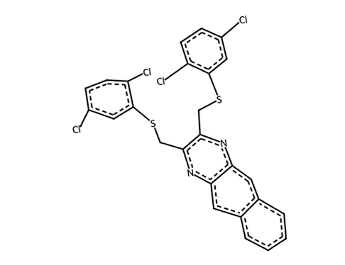 Clc1ccc(Cl)c(SCc2nc3cc4ccccc4cc3nc2CSc2cc(Cl)ccc2Cl)c1